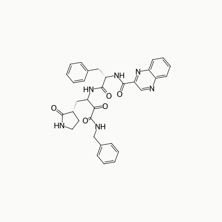 O=C(NCc1ccccc1)C(=O)C(C[C@@H]1CCNC1=O)NC(=O)[C@H](Cc1ccccc1)NC(=O)c1cnc2ccccc2n1